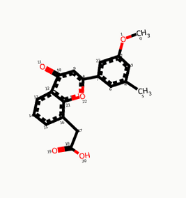 COc1cc(C)cc(-c2cc(=O)c3cccc(CC(=O)O)c3o2)c1